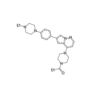 CCC(=O)N1CCN(c2ccnn3cc(-c4ccc(N5CCN(CC)CC5)cc4)cc23)CC1